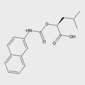 CC(C)C[C@H](OC(=O)Nc1ccc2ccccc2c1)C(=O)O